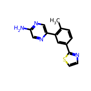 Cc1ccc(-c2nccs2)cc1-c1cnc(N)cn1